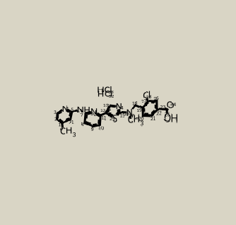 Cc1ccnc(Nc2cccc(-c3cnc(N(C)Cc4ccc(C(=O)O)cc4Cl)s3)n2)c1.Cl.Cl